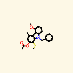 COc1cccc2c1c1c(C)cc(OC(C)=O)c(SC)c1n2Cc1ccccc1